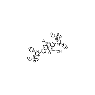 C[C@H]1COCCN1c1cc(C2(S(=O)(=O)C3CCOC3)CC2)nc(-c2ccc(N(C(=O)NCCO)N(C(=O)NC3CC3)c3ccc(-c4nc(N5CCOC[C@@H]5C)cc(C5(S(=O)(=O)C6CCOC6)CC5)n4)cc3)cc2)n1